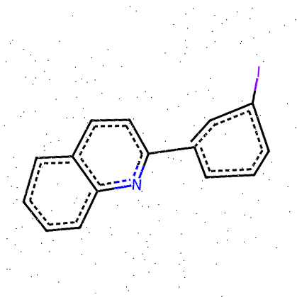 Ic1cccc(-c2ccc3ccccc3n2)c1